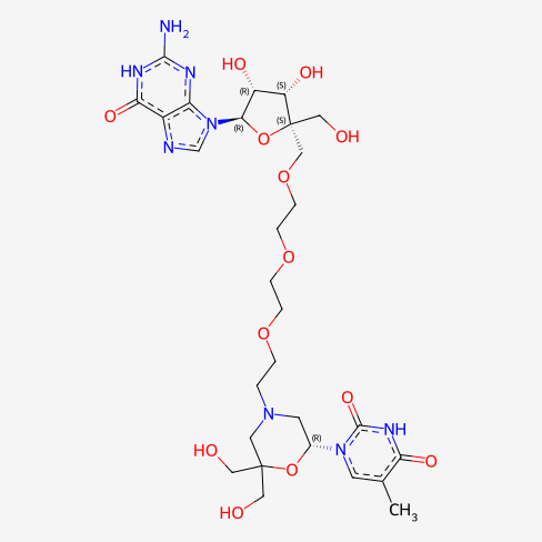 Cc1cn([C@H]2CN(CCOCCOCCOC[C@]3(CO)O[C@@H](n4cnc5c(=O)[nH]c(N)nc54)[C@H](O)[C@@H]3O)CC(CO)(CO)O2)c(=O)[nH]c1=O